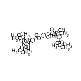 CC(Cc1ccc(OC(=O)c2ccc(N/C(=N\C(=O)OC(C)(C)C)NC(=O)OC(C)(C)C)cc2)cc1Cl)C(=O)N(Cc1cccc(C(=O)OC(C)(C)C)c1)CC(C)(C)C